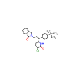 CC(C)(C)c1ccc(C(=CCN2Cc3ccccc3C2=O)c2ccc(Cl)c(=O)[nH]2)cc1